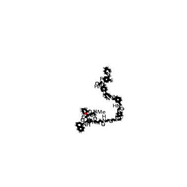 CN[C@@H](C)C(=O)N[C@H](C(=O)N1C[C@@H](NC(=O)CCC(=O)NCCOCCN2CC[C@]3(CCN(CC(=O)NCc4cccc(CNc5cc(N6CCC7(CC6)CN(c6cc(F)c(CN8CCC(C)(C)CC8)cc6F)CC(=O)N7)ncn5)c4)C3)C2)C[C@H]1C(=O)NC1CCCc2ccccc21)C1CCCCC1